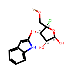 O[C@H]1[C@H](O)O[C@](Cl)(COBr)[C@H]1Oc1cc2ccccc2[nH]1